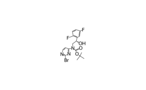 CC(C)(C)OC(=O)N(C[C@H](O)c1cc(F)ccc1F)c1ccnc(Br)n1